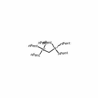 CCCCC[N+](CCCCC)(CCCCC)C[N+](CCCCC)(CCCCC)CCCCC